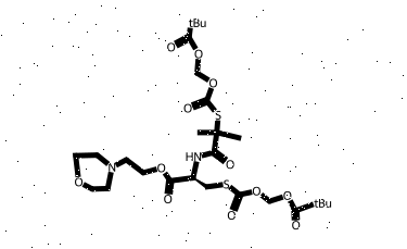 CC(C)(C)C(=O)OCOC(=O)SC[C@H](NC(=O)C(C)(C)SC(=O)OCOC(=O)C(C)(C)C)C(=O)OCCN1CCOCC1